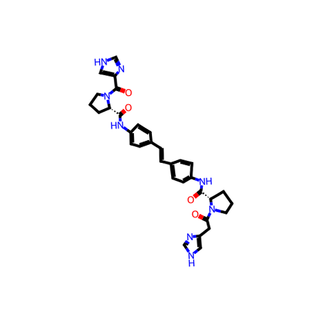 O=C(Nc1ccc(/C=C/c2ccc(NC(=O)[C@@H]3CCCN3C(=O)c3c[nH]cn3)cc2)cc1)[C@@H]1CCCN1C(=O)Cc1c[nH]cn1